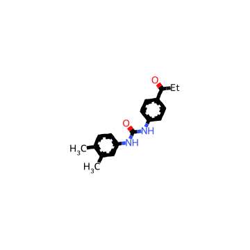 CCC(=O)c1ccc(NC(=O)Nc2ccc(C)c(C)c2)cc1